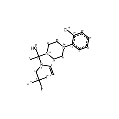 C=CN(CC(F)(F)F)C(C)(O)N1CCN(c2ccccc2Cl)CC1